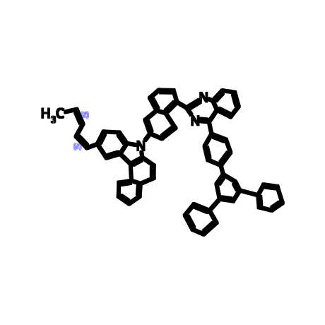 C/C=C\C=C/c1ccc2c(c1)c1c3ccccc3ccc1n2-c1ccc2c(-c3nc(-c4ccc(-c5cc(-c6ccccc6)cc(-c6ccccc6)c5)cc4)c4ccccc4n3)cccc2c1